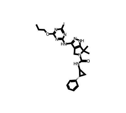 CCCOc1nc(I)nc(Nc2n[nH]c3c2CN(C(=O)NC2C[C@@H]2c2ccccc2)C3(C)C)n1